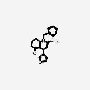 CC1=CC(c2ccoc2)C2=C(CCCC2=O)N1Cc1ccccc1